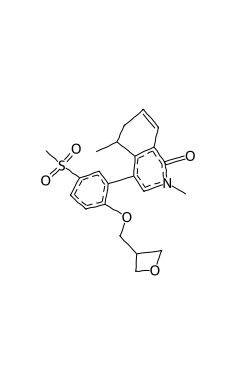 CC1CC=Cc2c1c(-c1cc(S(C)(=O)=O)ccc1OCC1COC1)cn(C)c2=O